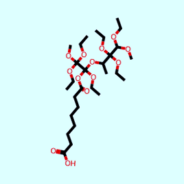 CCOC(OC)C(OCC)(OCC)C(C)OC(OCC)(OC(=O)CCCCCCC(=O)O)C(OC)(OCC)OCC